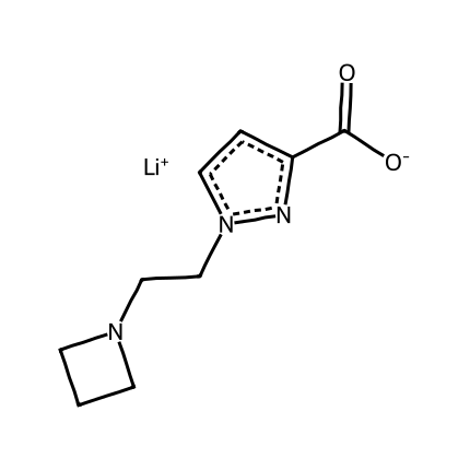 O=C([O-])c1ccn(CCN2CCC2)n1.[Li+]